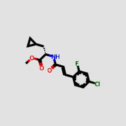 COC(=O)[C@H](CC1CC1)NC(=O)/C=C/c1ccc(Cl)cc1F